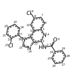 O=C(Nc1nc2ccc(Cl)cc2c2c1ncn2-c1ccccc1Cl)c1ccccc1